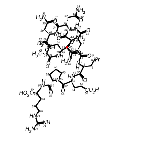 CC(C)C[C@H](NC(=O)[C@H](CCC(N)=O)NC(=O)[C@H](CC(N)=O)NC(=O)[C@H](C)NC(=O)[C@H](CC(N)=O)NC(=O)[C@H](CC(N)=O)NC(=O)[C@@H](N)CC(N)=O)C(=O)N[C@@H](CCC(=O)O)C(=O)N1CCC[C@H]1C(=O)N[C@@H](CCCNC(=N)N)C(=O)O